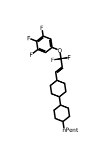 CCCCCC1CCC(C2CCC(C=CC(F)(F)Oc3cc(F)c(F)c(F)c3)CC2)CC1